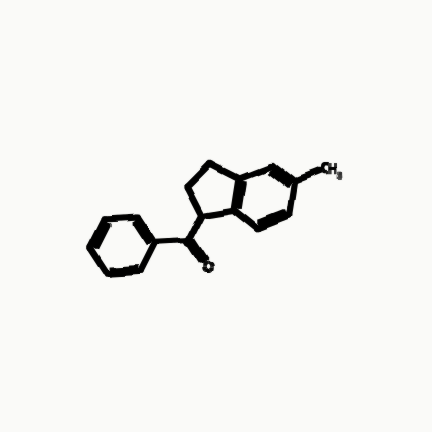 Cc1ccc2c(c1)CCC2C(=O)c1ccccc1